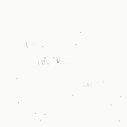 CCCCCCCC/C=C\CCCCCCCCCCC(CCNC(=O)CCCCCCCCCCCCCCCCC)C(N)=O